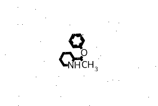 CC(Oc1c[c]ccc1)C1CCCCN1